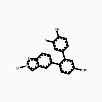 Cn1cc2cc(-c3ccc(C=O)cc3-c3ccc(C#N)c(F)c3)ccc2n1